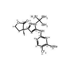 BC(B)(B)n1nc([C@]2(C)CCOC2=O)cc1Nc1ncc(C(F)(F)F)c(NC)n1